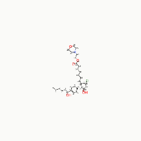 CCCCC[C@H](O)c1ccc([C@@H]2[C@@H](CCCCCCC(=O)OCCN3CCOCC3)[C@H](Cl)C[C@H]2O)cc1